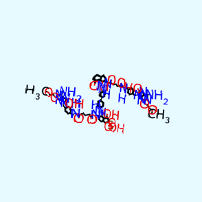 COCCOc1nc(N)c2nc(O)n(Cc3ccc(CNC(=O)CCCC(=O)Nc4ccc5cccc(O)c5c4/N=N/c4ccc(-c5ccc(/N=N/c6c(NC(=O)CCCC(=O)NCc7ccc(Cn8c(O)nc9c(N)nc(OCCOC)nc98)cc7)ccc7cc(S(=O)(=O)O)cc(O)c67)cc5)cc4)cc3)c2n1